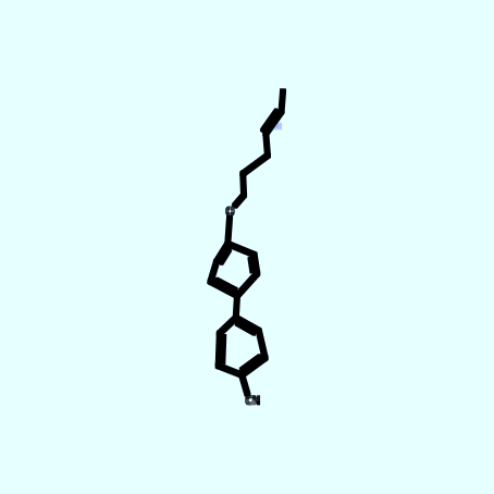 C/C=C/CCCOc1ccc(-c2ccc(C#N)cc2)cc1